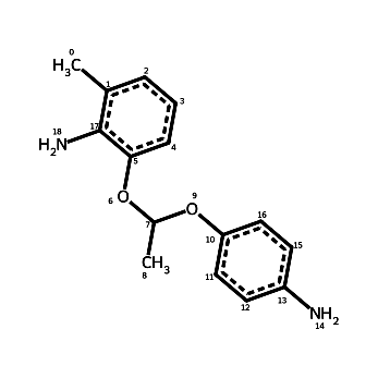 Cc1cccc(OC(C)Oc2ccc(N)cc2)c1N